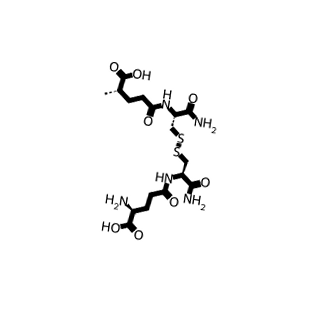 C[C@@H](CCC(=O)N[C@@H](CSSC[C@H](NC(=O)CC[C@H](N)C(=O)O)C(N)=O)C(N)=O)C(=O)O